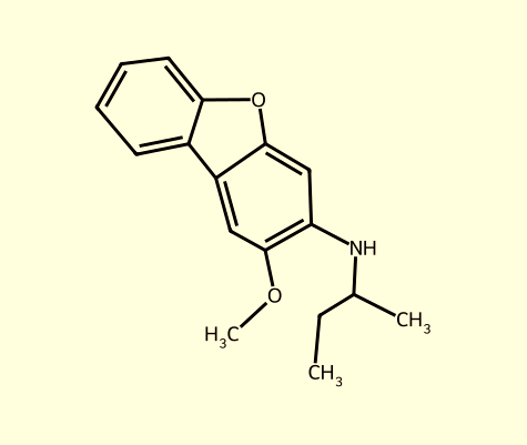 CCC(C)Nc1cc2oc3ccccc3c2cc1OC